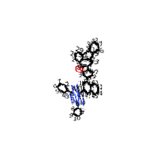 c1ccc(-c2nc(-c3ccccc3)nc(-c3cc(-c4ccc5c(c4)oc4c6cccc7c6c(cc54)-c4ccccc4-7)c4ccccc4c3)n2)cc1